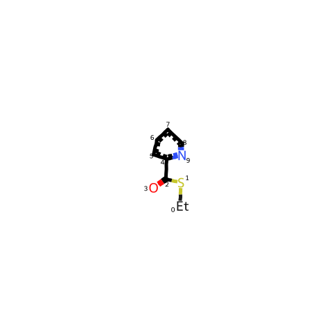 CCSC(=O)c1ccccn1